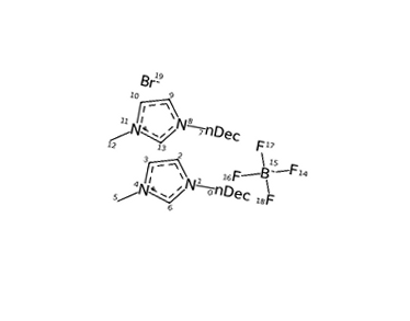 CCCCCCCCCCn1cc[n+](C)c1.CCCCCCCCCCn1cc[n+](C)c1.F[B-](F)(F)F.[Br-]